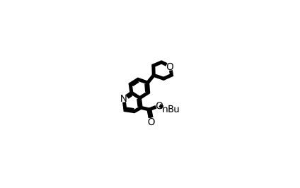 CCCCOC(=O)c1ccnc2ccc(C3CCOCC3)cc12